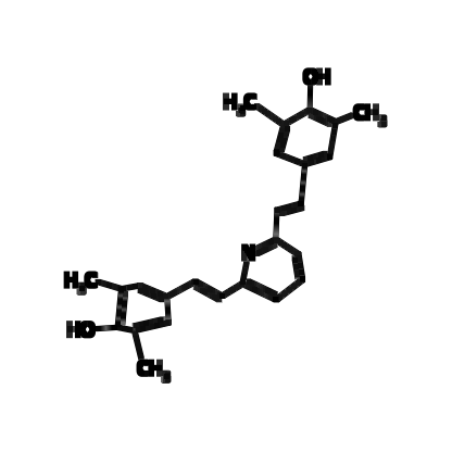 Cc1cc(/C=C/c2cccc(/C=C/c3cc(C)c(O)c(C)c3)n2)cc(C)c1O